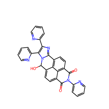 O=C1c2ccc3c4c(ccc(c24)C(=O)N1c1ccccn1)C(O)n1c-3nc(-c2ccccn2)c1-c1ccccn1